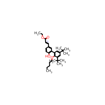 CCCCCOc1c(-c2cc(/C=C/C(=O)OCC)ccc2O)cc(C(C)(C)C)cc1C(C)(C)C